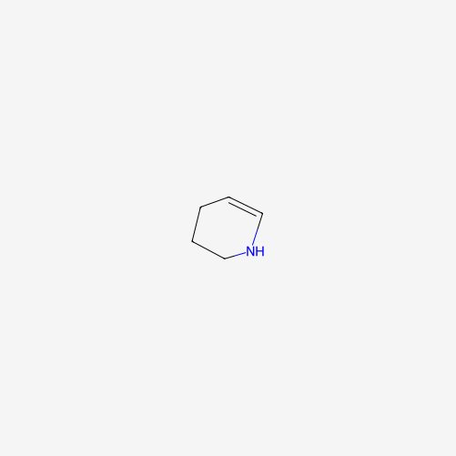 C1=CNCCC1